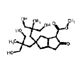 COC(=O)C1C(=O)CC2CC(CC(C)(CO)CO)(CC(C)(CO)CO)CC21